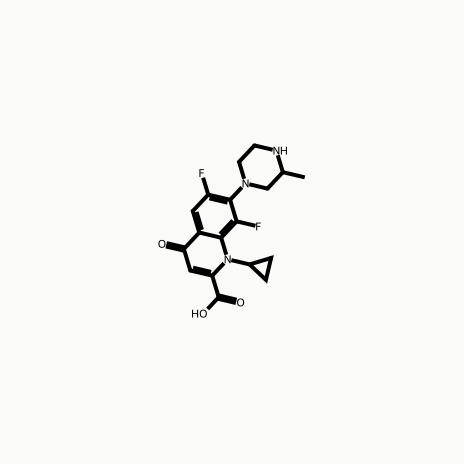 CC1CN(c2c(F)cc3c(=O)cc(C(=O)O)n(C4CC4)c3c2F)CCN1